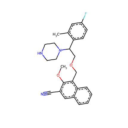 COc1c(C#N)cc2ccccc2c1COCC(c1ccc(F)cc1C)N1CCNCC1